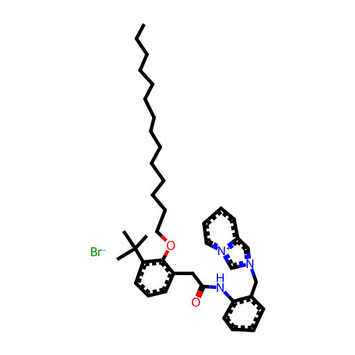 CCCCCCCCCCCCCCOc1c(CC(=O)Nc2ccccc2Cn2cc3cccc[n+]3c2)cccc1C(C)(C)C.[Br-]